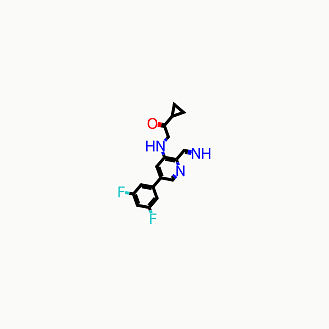 N=Cc1ncc(-c2cc(F)cc(F)c2)cc1NCC(=O)C1CC1